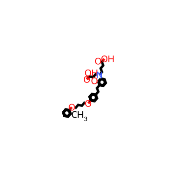 Cc1ccccc1OCCCCOc1ccc(CCc2cccc3c2OC(C(=O)O)CN3CCCC(=O)O)cc1